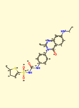 CCNc1ccc2c(=O)n(-c3ccc(NC(=O)NS(=O)(=O)C4=CCC(C)S4)cc3)c(C)nc2c1